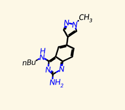 CCCCNc1nc(N)nc2ccc(-c3cnn(C)c3)cc12